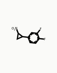 O=[N+]([O-])C1CC1c1ccc(F)c(F)c1